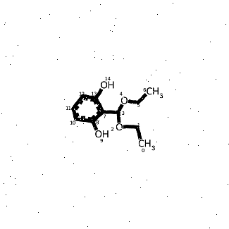 CCOC(OCC)c1c(O)cccc1O